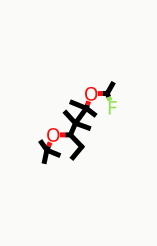 CCC(OC(C)(C)C)C(C)(C)C(C)(C)OC(C)F